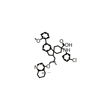 COc1ccccc1-c1ccc2c(c1)C1(CCC(Nc3cccc(Cl)c3)(C(=O)O)CC1)C(C[C@@H](C)COc1ccnc3c1[C@H](C)CCC3)C2